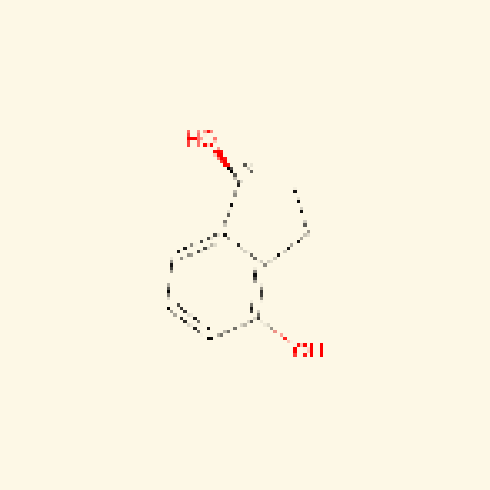 Oc1cccc2c1CC[C@@H]2O